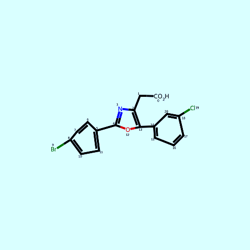 O=C(O)Cc1nc(-c2ccc(Br)cc2)oc1-c1cccc(Cl)c1